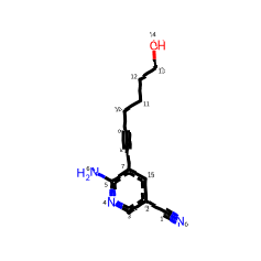 N#Cc1cnc(N)c(C#CCCCCO)c1